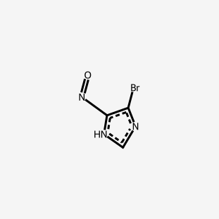 O=Nc1[nH]cnc1Br